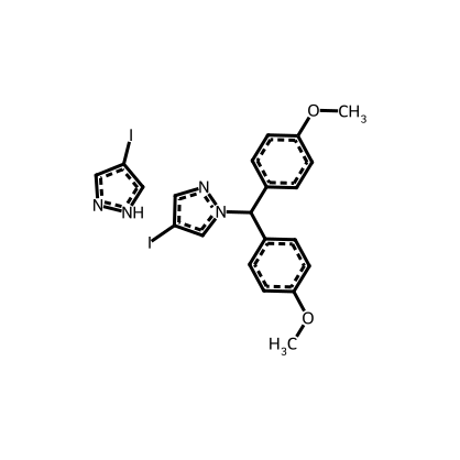 COc1ccc(C(c2ccc(OC)cc2)n2cc(I)cn2)cc1.Ic1cn[nH]c1